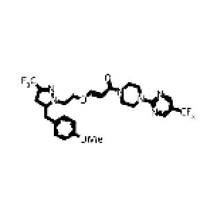 COc1ccc(CC2CC(C(F)(F)F)=NN2CCO/C=C/C(=O)N2CCN(c3ncc(C(F)(F)F)cn3)CC2)cc1